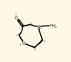 O=C1COCCN(P)C1